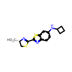 O=C(O)[C@H]1CSC(c2nc3ccc(NC4CCC4)cc3s2)=N1